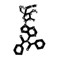 CC[C@@]1(N=[N+]=[N-])O[C@@H](n2cnc3c(N(C(=O)c4ccccc4)C(=O)c4ccccc4)ncnc32)[C@H](F)[C@@H]1C